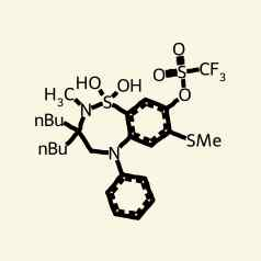 CCCCC1(CCCC)CN(c2ccccc2)c2cc(SC)c(OS(=O)(=O)C(F)(F)F)cc2S(O)(O)N1C